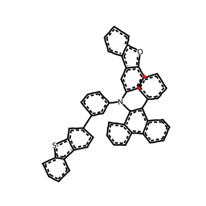 c1ccc(-c2c(N(c3cccc(-c4ccc5c(c4)sc4ccccc45)c3)c3ccc4oc5ccccc5c4c3)c3ccccc3c3ccccc23)cc1